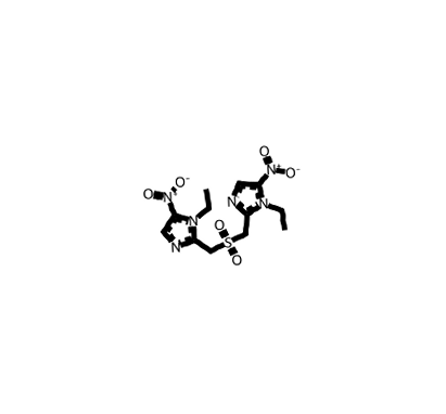 CCn1c([N+](=O)[O-])cnc1CS(=O)(=O)Cc1ncc([N+](=O)[O-])n1CC